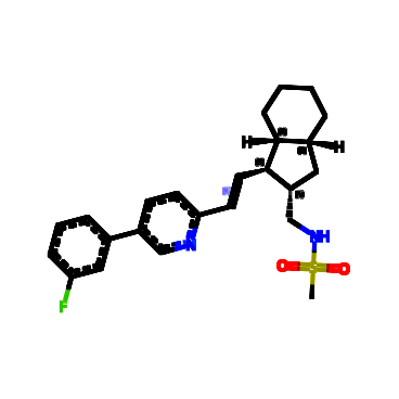 CS(=O)(=O)NC[C@H]1C[C@H]2CCCC[C@H]2[C@@H]1/C=C/c1ccc(-c2cccc(F)c2)cn1